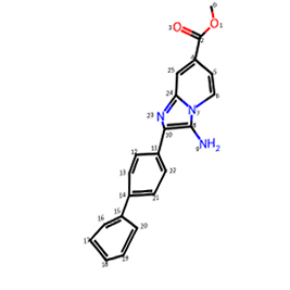 COC(=O)c1ccn2c(N)c(-c3ccc(-c4ccccc4)cc3)nc2c1